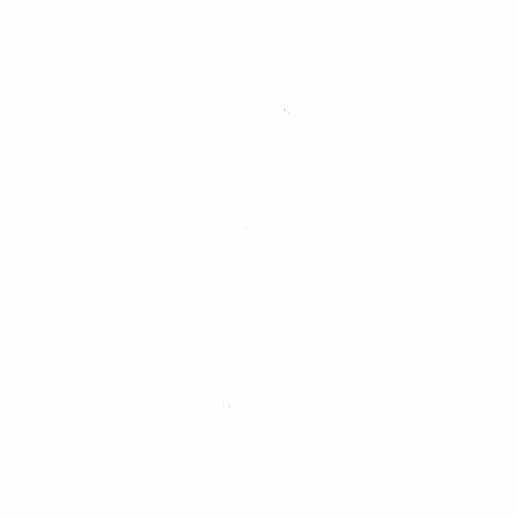 CC(C)(C)CCCC(=O)CCC(=O)CCCON